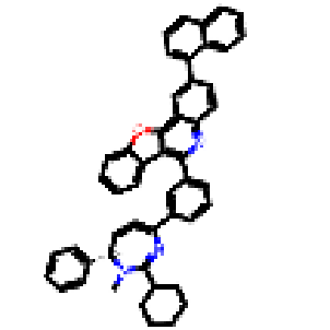 CN1C(C2CCCCC2)=NC(c2cccc(-c3nc4ccc(-c5cccc6ccccc56)cc4c4oc5ccccc5c34)c2)=C=C[C@H]1c1ccccc1